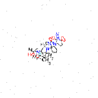 CN(C(=O)O)C1CCN(c2cccc3c2n(C)c(=O)n3C2CCC(=O)NC2=O)CC1(F)C(C)(C)C